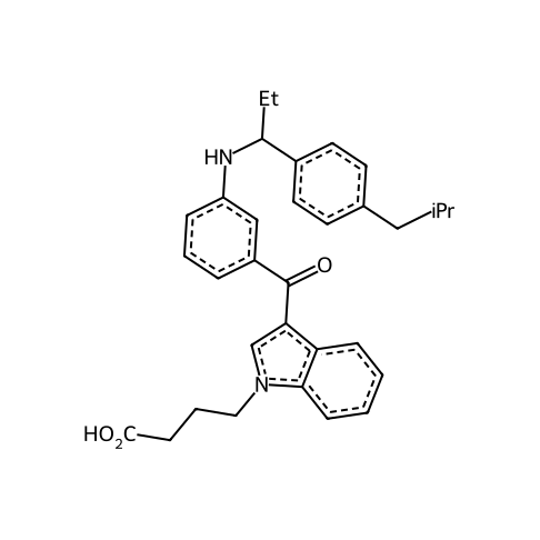 CCC(Nc1cccc(C(=O)c2cn(CCCC(=O)O)c3ccccc23)c1)c1ccc(CC(C)C)cc1